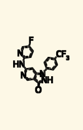 O=c1[nH]n(-c2ccc(C(F)(F)F)cc2)c2cc(Nc3ccc(F)cn3)ncc12